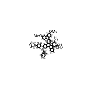 COc1ccc(C2(c3ccc(OC)cc3)C=Cc3c4c(c5cc(OC6C7CC8CC(C7)CC6C8)c(-c6ccc(N7CCOCC7)cc6)cc5c3O2)-c2ccccc2C42CC(C)(C)CC(C)(C)C2)cc1